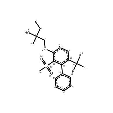 CCC(C)(O)COc1ncc(C(F)(F)F)c(-c2ccccc2)c1S(C)(=O)=O